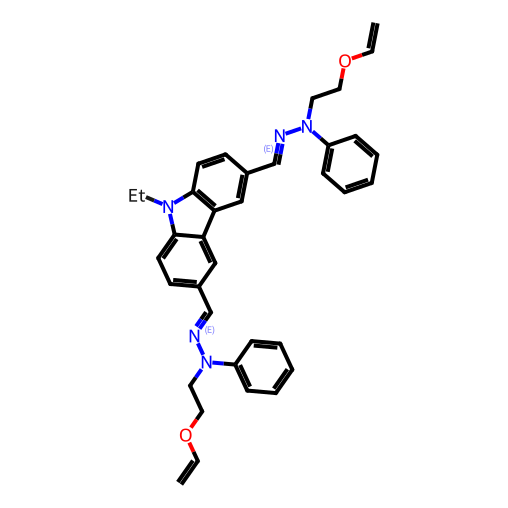 C=COCCN(/N=C/c1ccc2c(c1)c1cc(/C=N/N(CCOC=C)c3ccccc3)ccc1n2CC)c1ccccc1